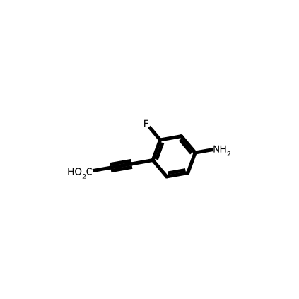 Nc1ccc(C#CC(=O)O)c(F)c1